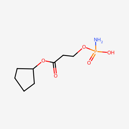 NP(=O)(O)OCCC(=O)OC1CCCC1